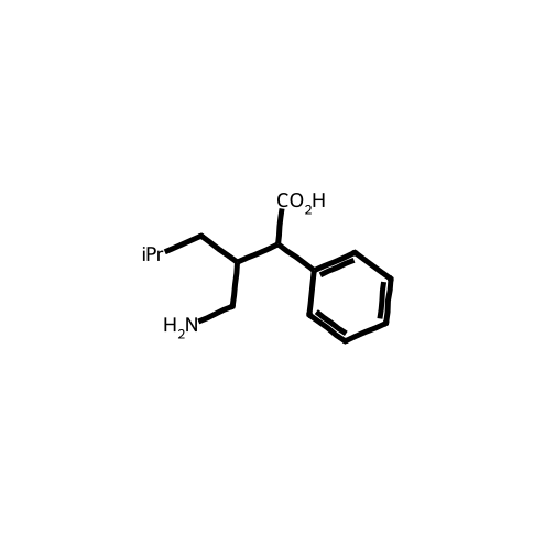 CC(C)CC(CN)C(C(=O)O)c1ccccc1